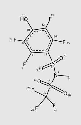 CN(S(=O)(=O)c1c(F)c(F)c(O)c(F)c1F)S(=O)(=O)C(F)(F)F